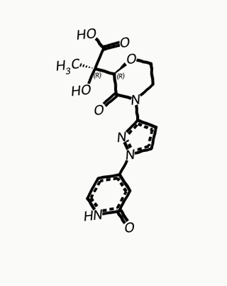 C[C@](O)(C(=O)O)[C@H]1OCCN(c2ccn(-c3cc[nH]c(=O)c3)n2)C1=O